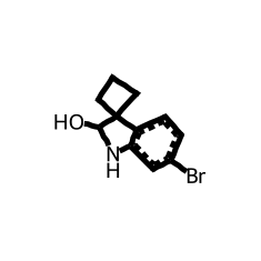 OC1Nc2cc(Br)ccc2C12CCC2